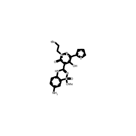 COP1(=O)N=C(c2c(O)c(-c3cccs3)nn(CCC(C)(C)C)c2=O)Nc2ccc(N)cc21